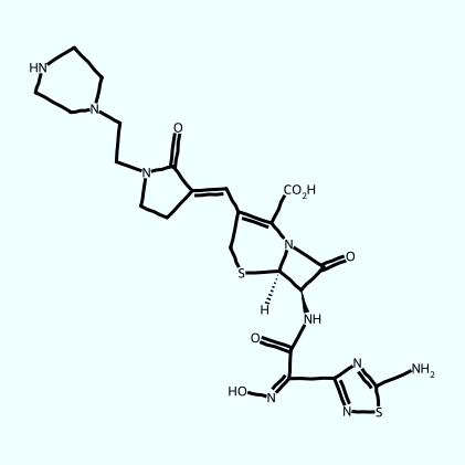 Nc1nc(/C(=N/O)C(=O)N[C@@H]2C(=O)N3C(C(=O)O)=C(/C=C4\CCN(CCN5CCNCC5)C4=O)CS[C@H]23)ns1